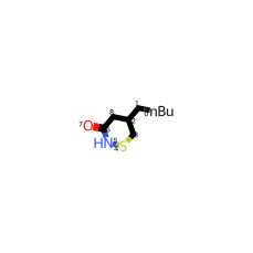 CCCCCC1CSNC(=O)C1